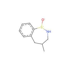 CC1CN[S+]([O-])c2ccccc2C1